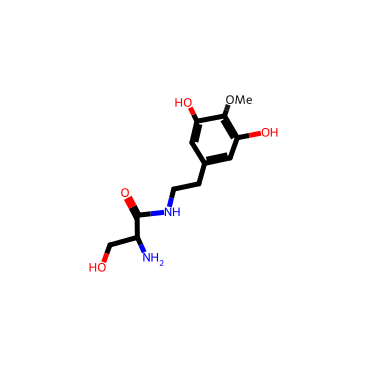 COc1c(O)cc(CCNC(=O)C(N)CO)cc1O